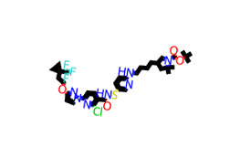 CC(C)(C)OC(=O)N1CC(CCCCNc2ccc(SNC(=O)c3ccc(-n4ccc(OCCC5(C(F)(F)F)CC5)n4)nc3Cl)cn2)CC1(C)C